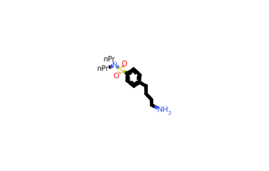 CCCN(CCC)S(=O)(=O)c1ccc(CCCCN)cc1